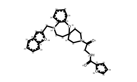 O=C(NCC(=O)N1CCC2(CC1)CCN(Cc1cc3ccccc3o1)c1ccccc1O2)c1ccco1